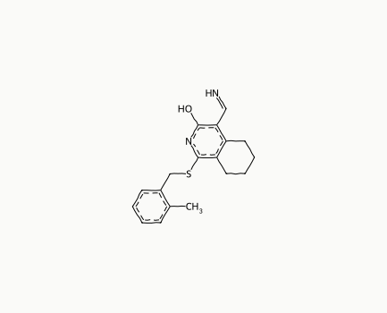 Cc1ccccc1CSc1nc(O)c(C=N)c2c1CCCC2